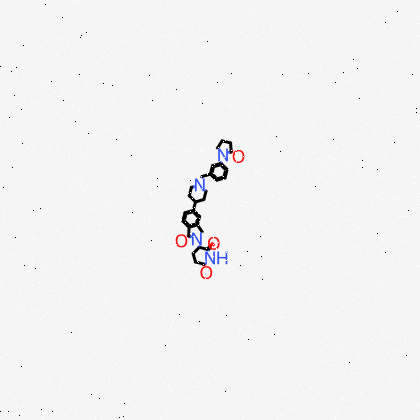 O=C1CCC(N2Cc3cc(C4CCN(Cc5cccc(N6CCCC6=O)c5)CC4)ccc3C2=O)C(=O)N1